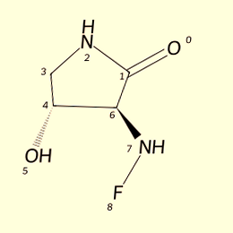 O=C1NC[C@@H](O)[C@@H]1NF